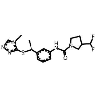 C[C@H](Sc1nncn1C)c1cccc(NC(=O)N2CCC(C(F)F)C2)c1